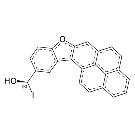 O[C@H](I)c1ccc2oc3cc4ccc5cccc6ccc(c3c2c1)c4c56